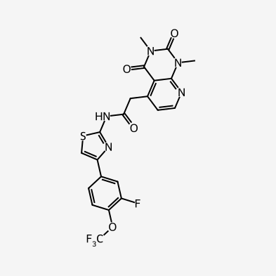 Cn1c(=O)c2c(CC(=O)Nc3nc(-c4ccc(OC(F)(F)F)c(F)c4)cs3)ccnc2n(C)c1=O